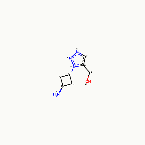 N[C@H]1C[C@H](n2nncc2CO)C1